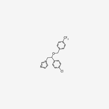 FC(F)(F)c1ccc(COC(Cn2ccnc2)c2ccc(Cl)cc2)cc1